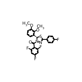 COc1cccc([C@H]2SC(c3ccc(F)cc3)=NN2C(=O)c2c(F)cc(F)cc2F)c1OC